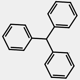 [c]1ccccc1C(c1ccccc1)c1ccccc1